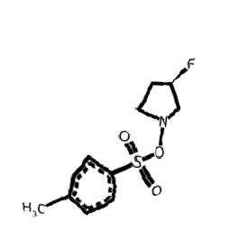 Cc1ccc(S(=O)(=O)ON2CC[C@@H](F)C2)cc1